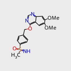 COc1cc2ncnc(OCc3ccc(S(C)(=N)=O)cc3)c2cc1OC